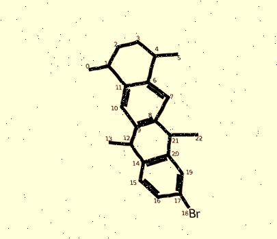 CC1CCC(C)c2cc3c(cc21)C(C)c1ccc(Br)cc1C3C